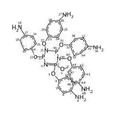 COP1(Oc2ccc(N)cc2)=NP(Oc2ccc(N)cc2)N(Oc2ccc(N)cc2)P(Oc2ccc(N)cc2)N1Oc1ccc(N)cc1